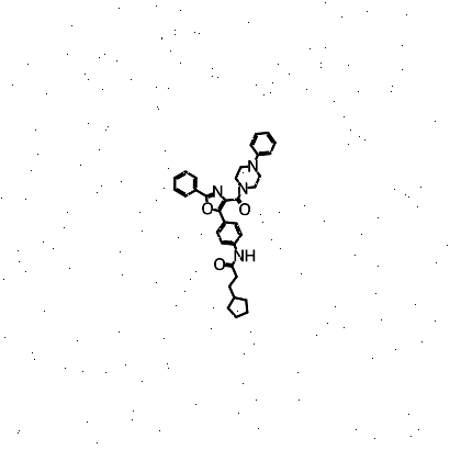 O=C(CCC1CCCC1)Nc1ccc(-c2oc(-c3ccccc3)nc2C(=O)N2CCN(c3ccccc3)CC2)cc1